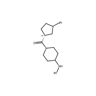 CC(C)NC1CCN(C(=O)[C@@H]2CCN(C(C)C)C2)CC1